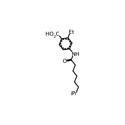 CCc1cc(NC(=O)CCCCCC(C)C)ccc1C(=O)O